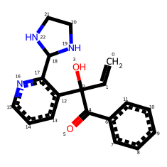 C=CC(O)(C(=O)c1ccccc1)c1cccnc1C1NCCN1